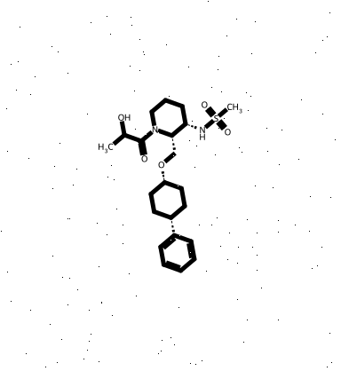 CC(O)C(=O)N1CCC[C@H](NS(C)(=O)=O)[C@@H]1CO[C@H]1CC[C@@H](c2ccccc2)CC1